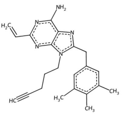 C#CCCCn1c(Cc2cc(C)c(C)c(C)c2)nc2c(N)nc(C=C)nc21